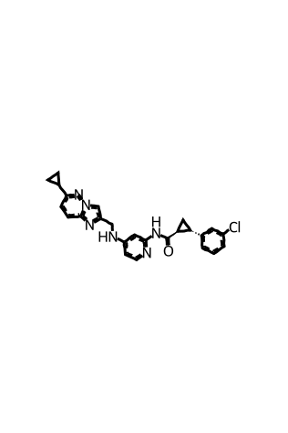 O=C(Nc1cc(NCc2cn3nc(C4CC4)ccc3n2)ccn1)[C@H]1C[C@@H]1c1cccc(Cl)c1